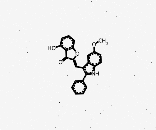 COc1ccc2[nH]c(-c3ccccc3)c(C=C3Oc4cccc(O)c4C3=O)c2c1